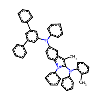 Cc1ccccc1N(c1ccccc1)c1c(C)c2cc(N(c3ccccc3)c3cc(-c4ccccc4)cc(-c4ccccc4)c3)ccc2n1-c1ccccc1